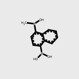 CB(O)c1ccc(B(O)O)c2ccccc12